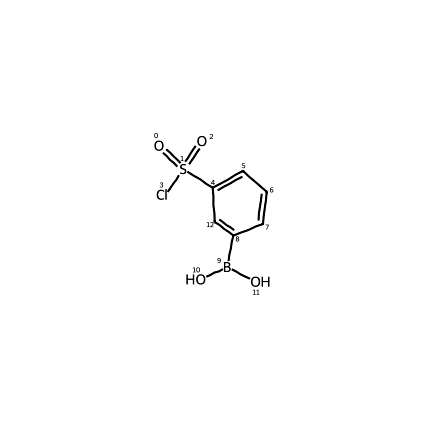 O=S(=O)(Cl)c1cccc(B(O)O)c1